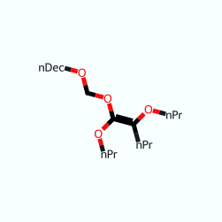 CCCCCCCCCCOCOC(OCCC)=C(CCC)OCCC